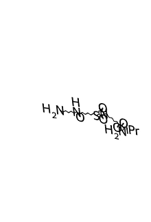 CC(C)[C@H](N)C(=O)C(=O)CCCCCN1C(=O)CC(SCCCCCC(=O)NCCCCCN)C1=O